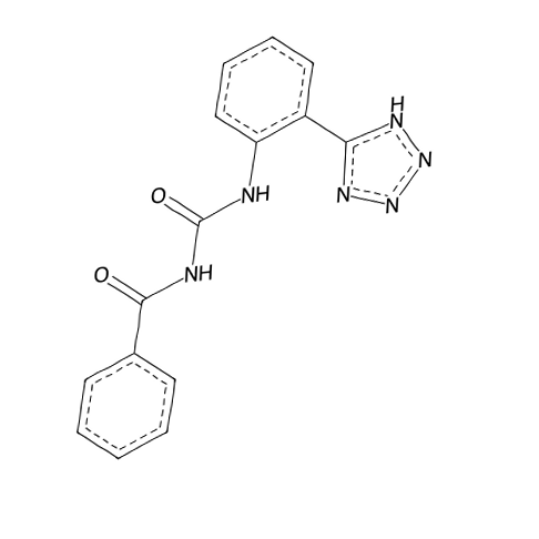 O=C(NC(=O)c1ccccc1)Nc1ccccc1-c1nnn[nH]1